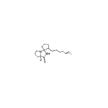 C=CCCCCC1CCCC12NC(=O)[C@@H]1CCCN12